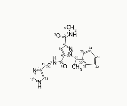 CNC(=O)c1cc(C(=O)NCCc2c[nH]cn2)n(C(C)c2ccccc2)n1